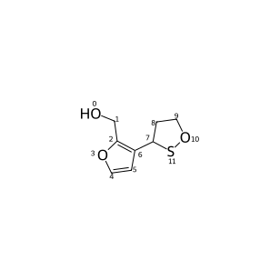 OCc1occc1C1CCOS1